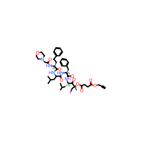 C#CCOC(=O)CCC(=O)O[C@](C)(CI)C(=O)[C@H](CC(C)C)NC(=O)[C@H](Cc1ccccc1)NC(=O)C(CC(C)C)NC(=O)[C@H](CCc1ccccc1)NC(=O)CN1CCOCC1